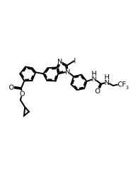 O=C(NCC(F)(F)F)Nc1cccc(-n2c(I)nc3cc(-c4cccc(C(=O)OCC5CC5)c4)ccc32)c1